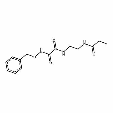 O=C(CI)NCCNC(=O)C(=O)NOCc1ccccc1